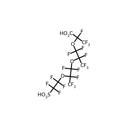 O=C(O)C(F)(OC(F)(F)C(F)(OC(F)(F)C(F)(OC(F)(F)C(F)(F)S(=O)(=O)O)C(F)(F)F)C(F)(F)F)C(F)(F)F